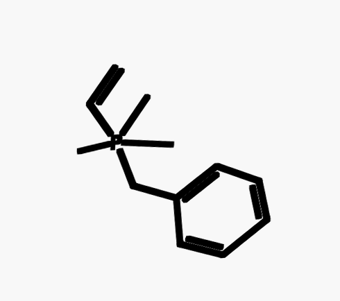 C=CP(C)(C)(C)Cc1ccccc1